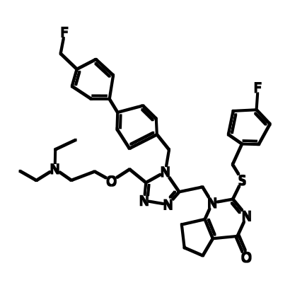 CCN(CC)CCOCc1nnc(Cn2c(SCc3ccc(F)cc3)nc(=O)c3c2CCC3)n1Cc1ccc(-c2ccc(CF)cc2)cc1